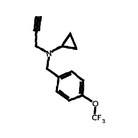 C#CCN(Cc1ccc(OC(F)(F)F)cc1)C1CC1